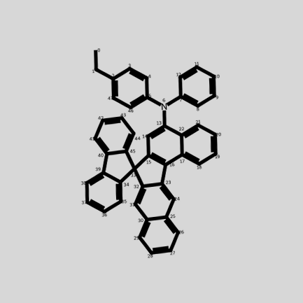 CCc1ccc(N(c2ccccc2)c2cc3c(c4ccccc24)-c2cc4ccccc4cc2C32c3ccccc3-c3ccccc32)cc1